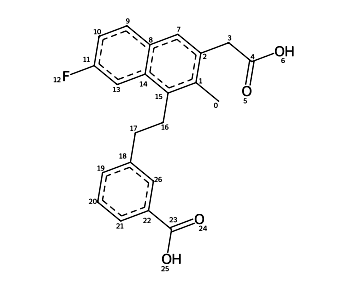 Cc1c(CC(=O)O)cc2ccc(F)cc2c1CCc1cccc(C(=O)O)c1